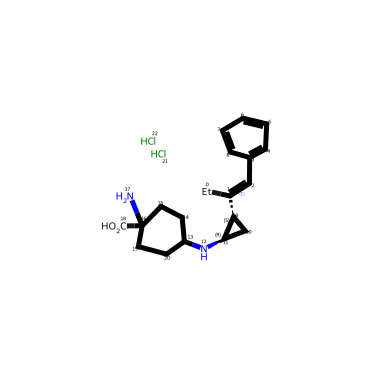 CC/C(=C\c1ccccc1)[C@@H]1C[C@H]1NC1CCC(N)(C(=O)O)CC1.Cl.Cl